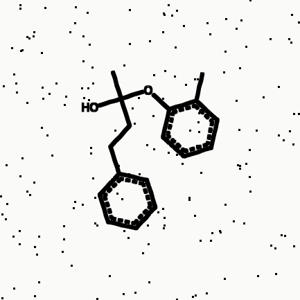 Cc1ccccc1OC(C)(O)CCc1ccccc1